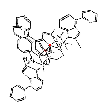 C[SiH2][Hf]([CH3])([CH3])([CH]1C(C)=Cc2c(-c3ccccc3)cccc21)([CH]1C(C)=Cc2c(-c3ccccc3)cccc21)[SiH]1CC[SiH]([Hf]([CH3])([CH3])([SiH2]C)([CH]2C(C)=Cc3c(-c4ccccc4)cccc32)[CH]2C(C)=Cc3c(-c4ccccc4)cccc32)CC1